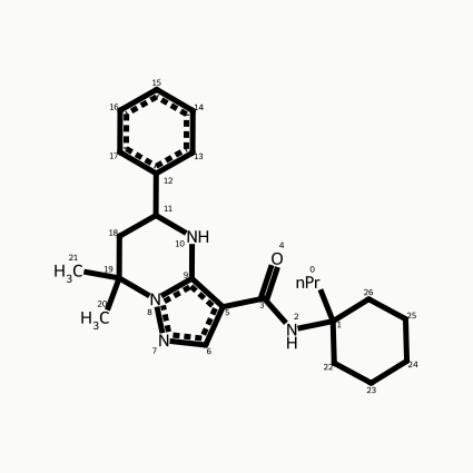 CCCC1(NC(=O)c2cnn3c2NC(c2ccccc2)CC3(C)C)CCCCC1